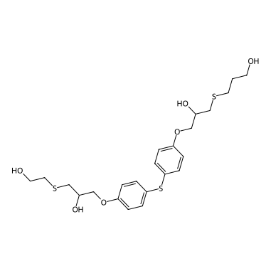 OCCCSCC(O)COc1ccc(Sc2ccc(OCC(O)CSCCO)cc2)cc1